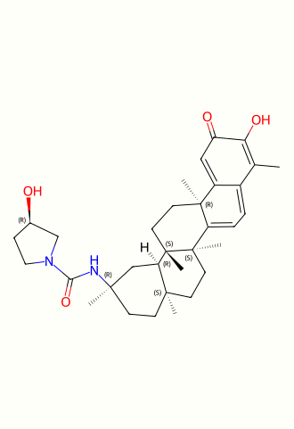 CC1=C(O)C(=O)C=C2C1=CC=C1[C@@]2(C)CC[C@@]2(C)[C@@H]3C[C@](C)(NC(=O)N4CC[C@@H](O)C4)CC[C@]3(C)CC[C@]12C